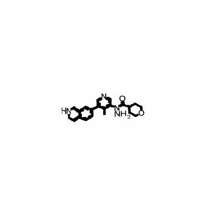 Cc1c(-c2ccc3c(c2)=CNCC=3)cncc1N(N)C(=O)C1CCOCC1